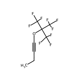 CCC#COC(C(F)(F)F)(C(F)(F)F)C(F)(F)F